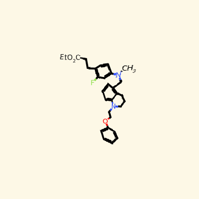 CCOC(=O)CCc1ccc(N(C)Cc2cccc3c2CCCN3CCOc2ccccc2)cc1F